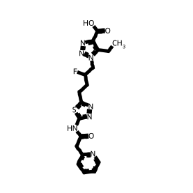 CCc1c(C(=O)O)nnn1CC(F)CCc1nnc(NC(=O)Cc2ccccn2)s1